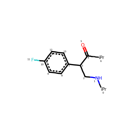 CC(C)NCC(C(=O)C(C)C)c1ccc(F)cc1